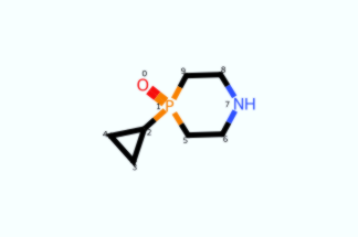 O=P1(C2CC2)CCNCC1